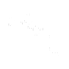 O=C(O)c1cccc(-c2cccc(C(=O)Nc3ccc(-n4nc(-c5cccnc5)cc4C(F)(F)F)nn3)c2)c1